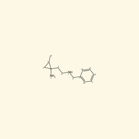 CC1CC1(N)CCNCc1ccccc1